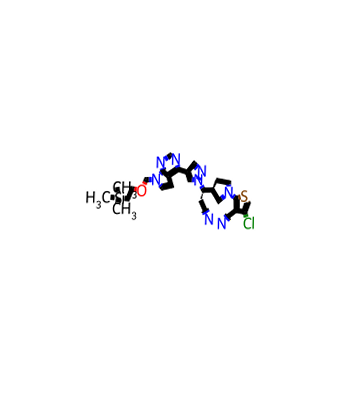 C[Si](C)(C)CCOCn1ccc2c(-c3cnn([C@@H](CC#N)[C@H]4CCN(c5scc(Cl)c5C#N)C4)c3)ncnc21